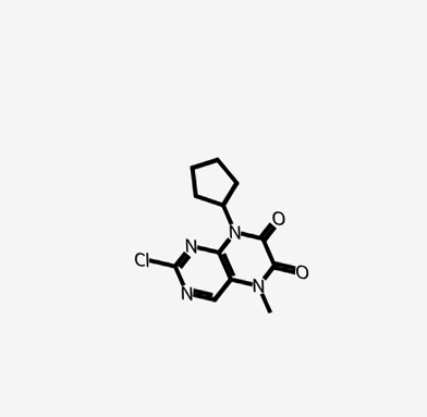 Cn1c(=O)c(=O)n(C2CCCC2)c2nc(Cl)ncc21